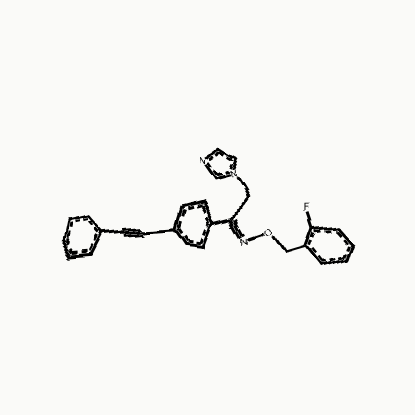 Fc1ccccc1CO/N=C(\Cn1ccnc1)c1ccc(C#Cc2ccccc2)cc1